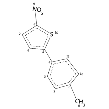 Cc1ccc(-c2ccc([N+](=O)[O-])s2)cc1